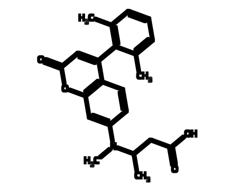 Cc1cccc(C)c1-c1cc(=O)oc2cc(N(C)C(C)CC(=O)O)ccc12